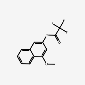 COc1cc(OC(=O)C(F)(F)F)cc2ccccc12